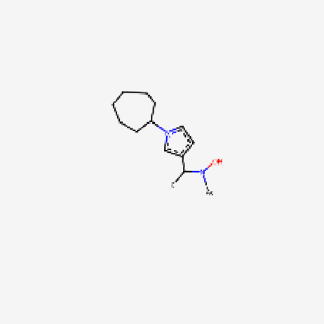 CC(=O)N(O)C(C)c1ccn(C2CCCCCC2)c1